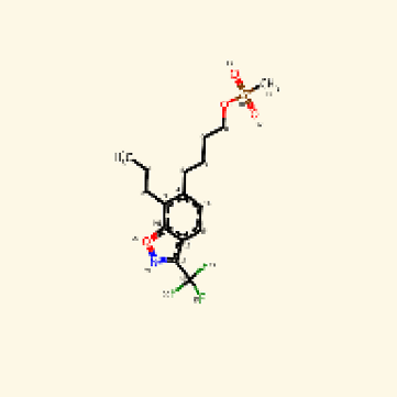 CCCc1c(CCCCOS(C)(=O)=O)ccc2c(C(F)(F)F)noc12